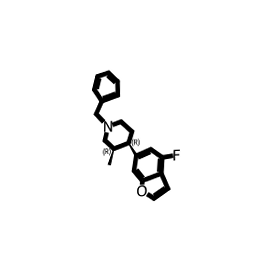 C[C@H]1CN(Cc2ccccc2)CC[C@H]1c1cc(F)c2ccoc2c1